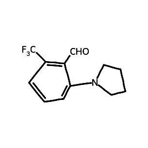 O=Cc1c(N2CCCC2)cccc1C(F)(F)F